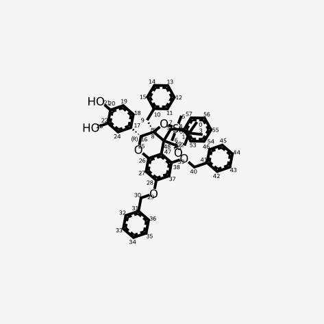 CC(C)(C)[Si](C)(C)O[C@]1(Cc2ccccc2)[C@@H](c2ccc(O)c(O)c2)Oc2cc(OCc3ccccc3)cc(OCc3ccccc3)c2C1(C=O)Cc1ccccc1